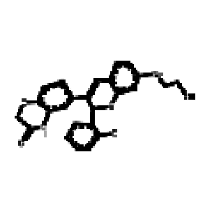 O=C1COc2ccc(C3=Cc4ccc(NCCO)cc4SC3c3ccccc3Cl)cc2N1